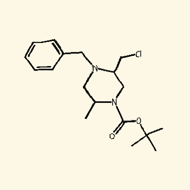 CC1CN(Cc2ccccc2)C(CCl)CN1C(=O)OC(C)(C)C